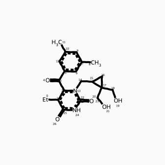 CCc1c(C(=O)c2cc(C)cc(C)c2)n(CC2CC2(CO)CO)c(=O)[nH]c1=O